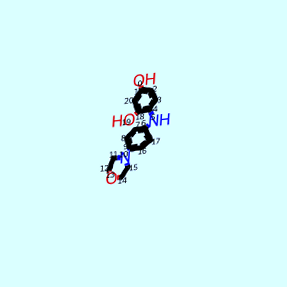 Oc1ccc(Nc2ccc(N3CCOCC3)cc2)c(O)c1